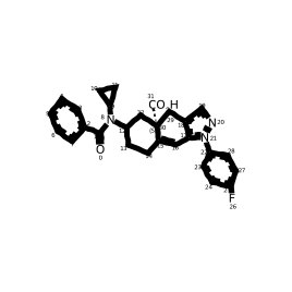 O=C(c1ccccc1)N(C1CC1)C1CCC2=Cc3c(cnn3-c3ccc(F)cc3)C[C@]2(C(=O)O)C1